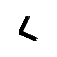 [K+].[K+].[K+].[K+].[K+].[K+].[K+].[K+].[K+].[K+].[K+].[K+].[K+].[K+].[K+].[K+].[K+].[K+].[K+].[K+].[K+].[K+].[K+].[K+].[K+].[K+].[K+].[K+].[K+].[K+].[K+].[K+].[K+].[K+].[K+].[K+].[K+].[K+].[K+].[K+].[K+].[K+].[K+]